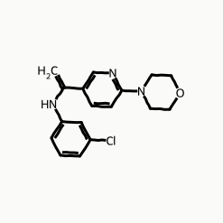 C=C(Nc1cccc(Cl)c1)c1ccc(N2CCOCC2)nc1